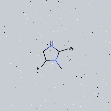 CCCC1NCC(CC)N1C